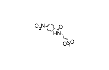 CS(=O)(=O)/C=C/CNC(=O)c1ccc([N+](=O)[O-])cc1